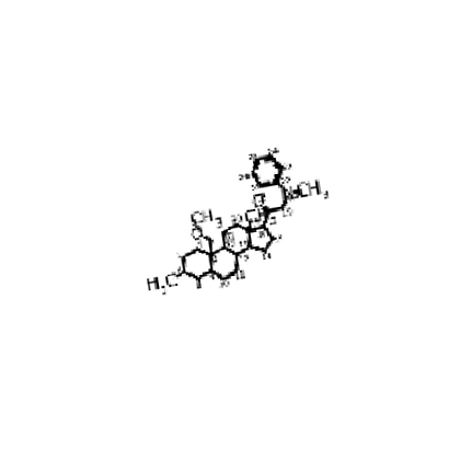 COCC12CCC(C)CC1CCC1C3CCC(C(=O)CN(C)c4ccccc4)C3(C)CCC12